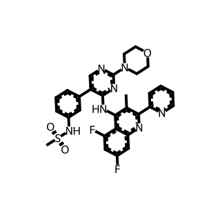 Cc1c(-c2ccccn2)nc2cc(F)cc(F)c2c1Nc1nc(N2CCOCC2)ncc1-c1cccc(NS(C)(=O)=O)c1